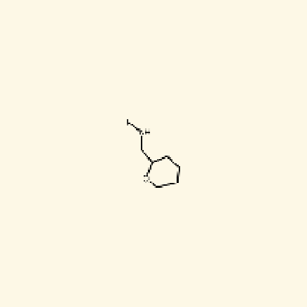 INCC1CCCCO1